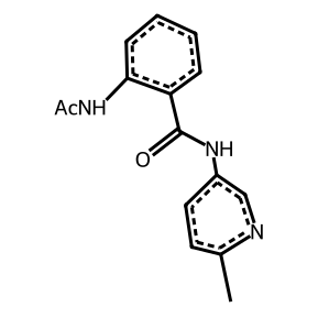 CC(=O)Nc1ccccc1C(=O)Nc1ccc(C)nc1